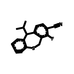 CC(C)C1c2ccc#cc2SCc2c1ccc(C#N)c2F